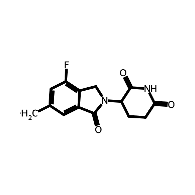 [CH2]c1cc(F)c2c(c1)C(=O)N(C1CCC(=O)NC1=O)C2